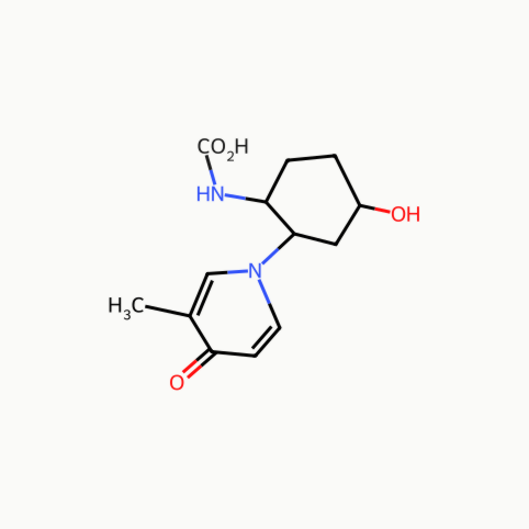 Cc1cn(C2CC(O)CCC2NC(=O)O)ccc1=O